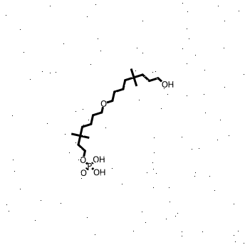 CC(C)(CCCO)CCCCOCCCCC(C)(C)CCOP(=O)(O)O